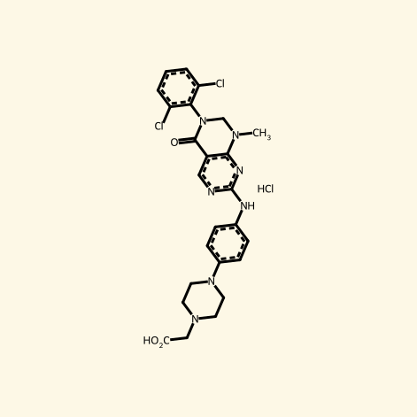 CN1CN(c2c(Cl)cccc2Cl)C(=O)c2cnc(Nc3ccc(N4CCN(CC(=O)O)CC4)cc3)nc21.Cl